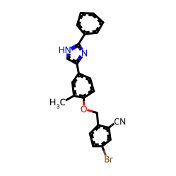 Cc1cc(-c2c[nH]c(-c3ccccc3)n2)ccc1OCc1ccc(Br)cc1C#N